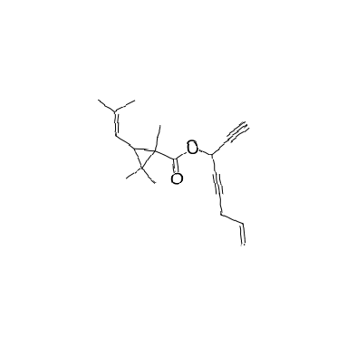 C#CC(C#CCC=C)OC(=O)C1(C)C(C=C(C)C)C1(C)C